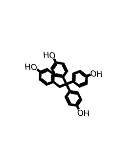 Oc1ccc(CC(c2ccc(O)cc2)(c2ccc(O)cc2)c2ccc(O)cc2)cc1